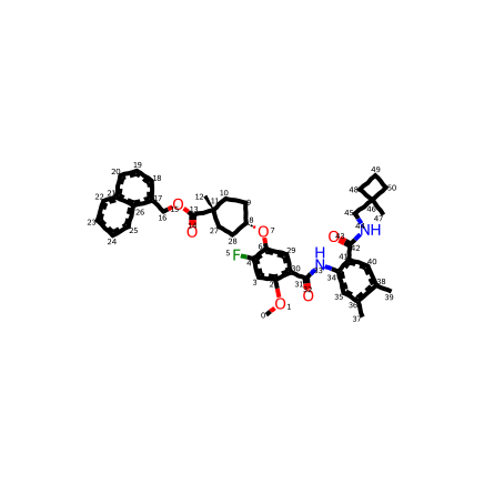 COc1cc(F)c(O[C@H]2CC[C@@](C)(C(=O)OCc3cccc4ccccc34)CC2)cc1C(=O)Nc1cc(C)c(C)cc1C(=O)NCC1(C)CCC1